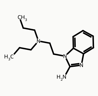 CCCN(CCC)CCn1c(N)nc2ccccc21